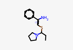 CCC(S/C=C(\N)c1ccccc1)N1CCCC1